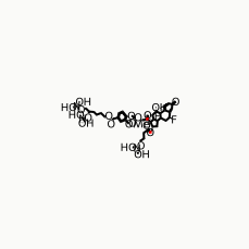 COc1cc(C(=O)OCCCCC(CON(O)O)ON(O)O)ccc1OC(=O)OCC(=O)[C@@]1(OC(=O)CCCON(O)O)[C@H](C)CC2C3C[C@H](F)C4=CC(=O)C=C[C@]4(C)[C@@]3(F)[C@@H](O)C[C@@]21C